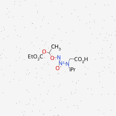 CCOC(=O)OC(C)ON=[N+]([O-])N(CC(=O)O)C(C)C